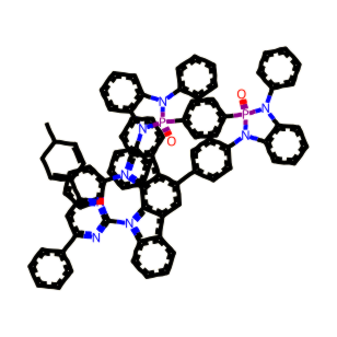 CC1C=CC(c2cc(-c3ccccc3)nc(-n3c4ccccc4c4cc(-c5ccc(N6c7ccccc7N(c7ccccc7)P6(=O)c6ccc(P7(=O)N(c8ccccc8)c8ccccc8N7c7ccccc7)cc6)cc5)c5c6ccccc6n(-c6ccccc6)c5c43)n2)=CC1